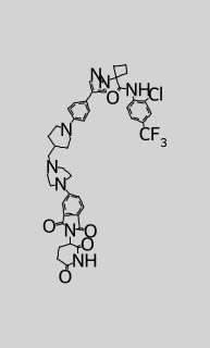 O=C1CCC(N2C(=O)c3ccc(N4CCN(CC5CCN(c6ccc(-c7cnn(C8(C(=O)Nc9ccc(C(F)(F)F)cc9Cl)CCC8)c7)cc6)CC5)CC4)cc3C2=O)C(=O)N1